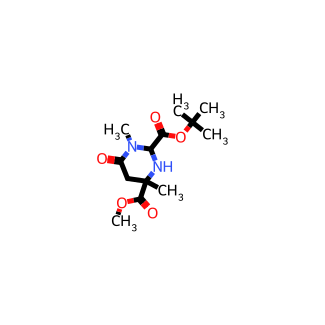 COC(=O)C1(C)CC(=O)N(C)C(C(=O)OC(C)(C)C)N1